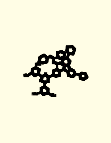 C=N/C(=N\C(=C/c1ccccc1)c1ccccc1)c1cc(-c2nc(-c3cc(CCCC)cc(C(C)(C)C)c3)nc(-c3cc(CCCC)cc(C(C)(C)C)c3)n2)ccc1-n1c2ccc(-c3ccccc3)cc2c2cc(-c3ccccc3)ccc21